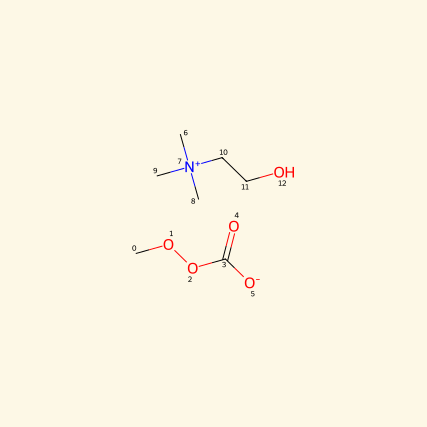 COOC(=O)[O-].C[N+](C)(C)CCO